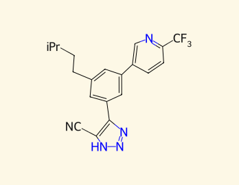 CC(C)CCc1cc(-c2ccc(C(F)(F)F)nc2)cc(-c2nn[nH]c2C#N)c1